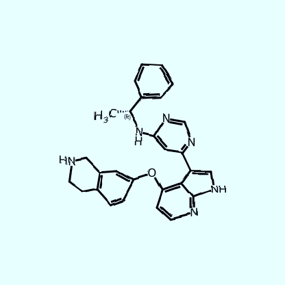 C[C@@H](Nc1cc(-c2c[nH]c3nccc(Oc4ccc5c(c4)CNCC5)c23)ncn1)c1ccccc1